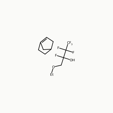 C1=C2CCC(C1)C2.CCOCC(O)(F)C(F)(F)C(F)(F)F